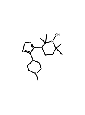 CN1CCN(c2nsnc2C2CCC(C)(C)N(O)C2(C)C)CC1